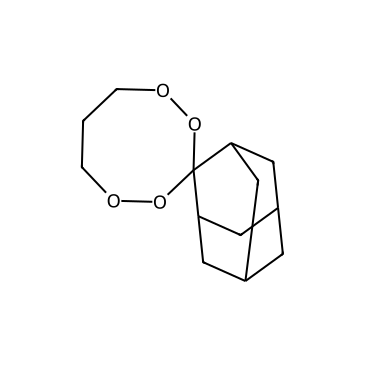 C1COOC2(OOC1)C1CC3CC(C1)CC2C3